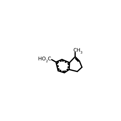 CC1=CCCc2ccc(C(=O)O)cc21